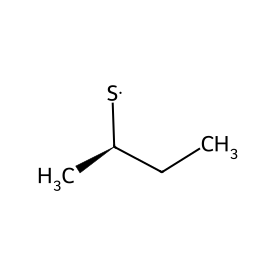 CC[C@@H](C)[S]